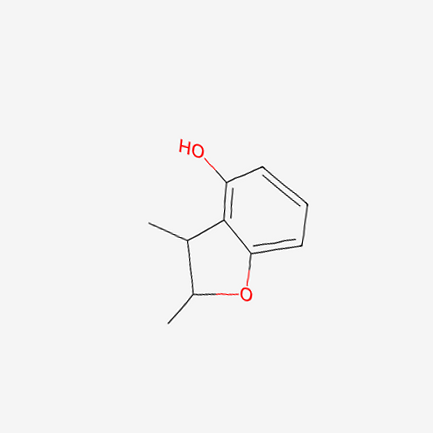 CC1Oc2cccc(O)c2C1C